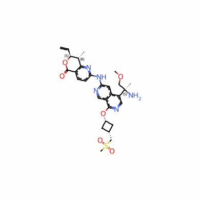 C=C[C@@H]1OC(=O)c2ccc(Nc3cc4c([C@](C)(N)COC)cnc(O[C@H]5C[C@@H](CS(C)(=O)=O)C5)c4cn3)nc2[C@H]1C